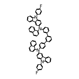 Fc1ccc(-n2c3ccccc3c3cc(N(c4ccc(-c5cccc(-c6cccc(N(c7ccc8c(c7)c7ccccc7n8-c7ccc(F)cc7)c7cccc8ccccc78)c6)c5)cc4)c4cccc5ccccc45)ccc32)cc1